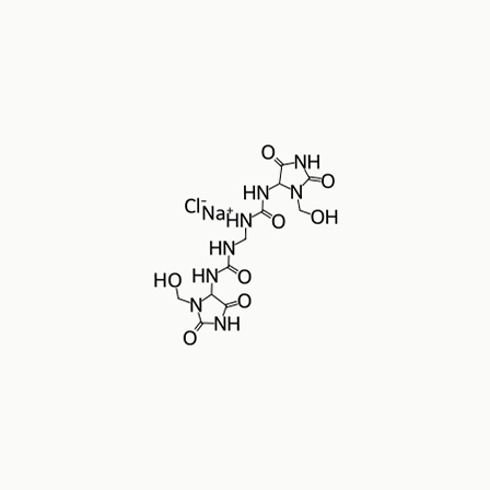 O=C(NCNC(=O)NC1C(=O)NC(=O)N1CO)NC1C(=O)NC(=O)N1CO.[Cl-].[Na+]